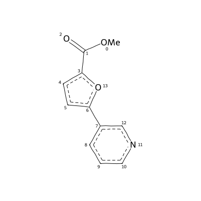 COC(=O)c1ccc(-c2cccnc2)o1